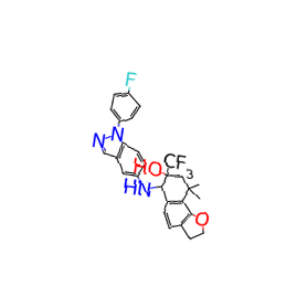 CC1(C)CC(O)(C(F)(F)F)C(Nc2ccc3c(cnn3-c3ccc(F)cc3)c2)c2ccc3c(c21)OCC3